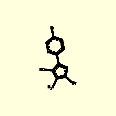 CC(C)n1nc(-c2ccc(Br)cn2)c(C#N)c1N